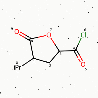 CC(C)C1CC(C(=O)Cl)OC1=O